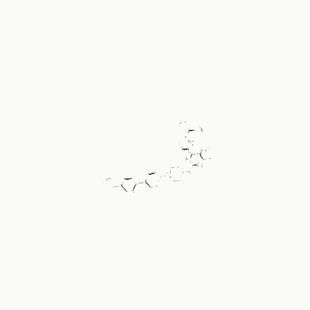 Cc1nc(CC2CCN(C3C=CC(c4ccc(CO)cc4)=CC3)CC2)nc(C(=O)NCC(=O)O)c1O